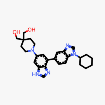 OCC1(CO)CCN(c2cc(-c3ccc4c(c3)ncn4C3CCCCC3)c3nc[nH]c3c2)CC1